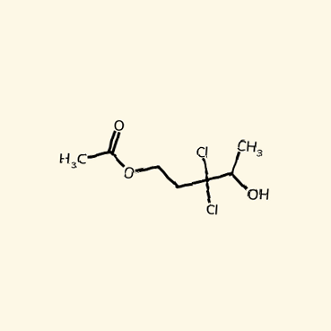 CC(=O)OCCC(Cl)(Cl)C(C)O